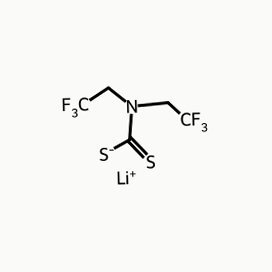 FC(F)(F)CN(CC(F)(F)F)C(=S)[S-].[Li+]